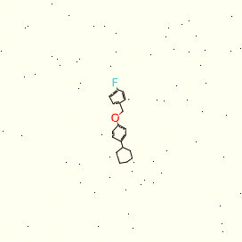 Fc1c[c]c(COc2ccc(C3CCCCC3)cc2)cc1